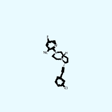 N#Cc1cc(F)cnc1N1CCN2[C@@H](CC[C@@H]2C#Cc2cccc(Cl)c2)C1